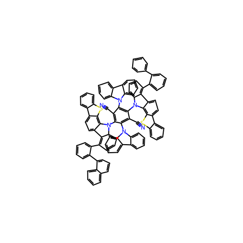 N#Cc1c(-n2c3ccccc3c3ccccc32)c(-n2c3cccc(-c4ccccc4-c4cccc5ccccc45)c3c3ccc4c5ccccc5sc4c32)c(C#N)c(-n2c3ccccc3c3ccccc32)c1-n1c2cccc(-c3ccccc3-c3ccccc3)c2c2ccc3c4ccccc4sc3c21